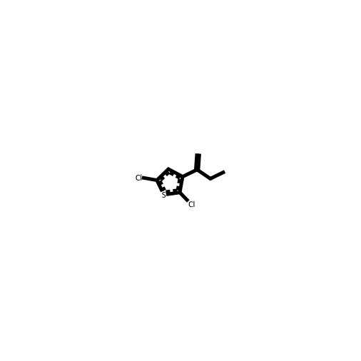 C=C(CC)c1cc(Cl)sc1Cl